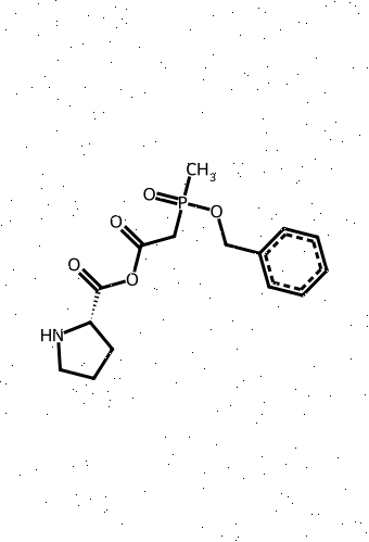 CP(=O)(CC(=O)OC(=O)[C@@H]1CCCN1)OCc1ccccc1